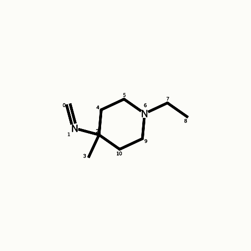 C=NC1(C)CCN(CC)CC1